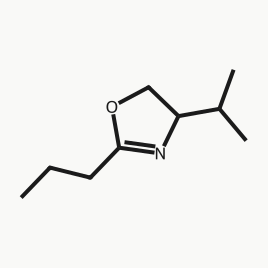 CCCC1=NC(C(C)C)CO1